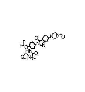 O=CN1CCN(c2ccc3c(=O)n(-c4ccc(OC(F)F)c(NC(=O)C5(N6CCOCC6)CC5)c4)cnc3c2)CC1